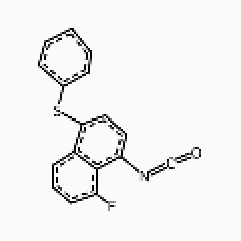 O=C=Nc1ccc(Sc2ccccc2)c2cccc(F)c12